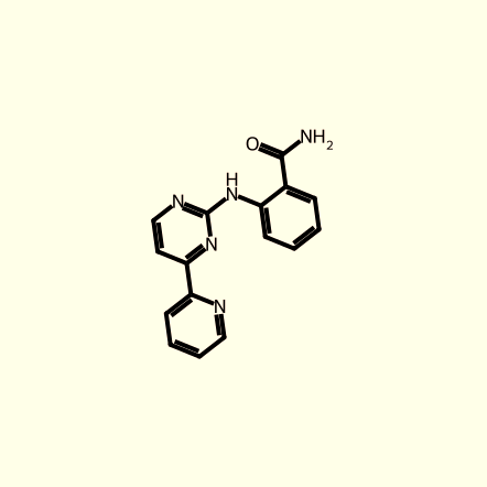 NC(=O)c1ccccc1Nc1nccc(-c2ccccn2)n1